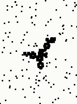 CC(C)n1c(NCc2ccc(C(=O)NO)cc2)nc2c(-c3cnc(N)nc3)nc(N3CCOCC3)nc21